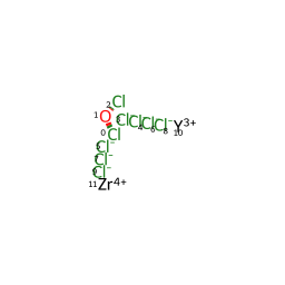 ClOCl.[Cl-].[Cl-].[Cl-].[Cl-].[Cl-].[Cl-].[Cl-].[Y+3].[Zr+4]